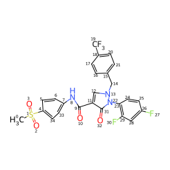 CS(=O)(=O)c1ccc(NC(=O)c2cn(Cc3ccc(C(F)(F)F)cc3)n(-c3ccc(F)cc3F)c2=O)cc1